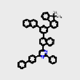 CC1(C)c2ccccc2-c2c(-c3cc(-c4ccc5ccccc5c4)cc(-c4ccc(-c5cc(-c6ccc(-c7ccccc7)cc6)nc(-c6ccccc6)n5)c5ccccc45)c3)cccc21